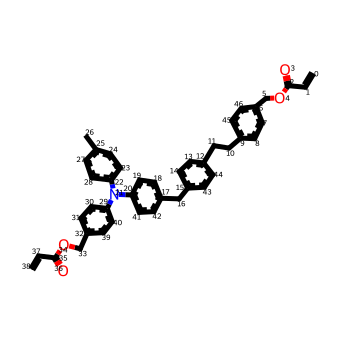 C=CC(=O)OCc1ccc(CCc2ccc(Cc3ccc(N(c4ccc(C)cc4)c4ccc(COC(=O)C=C)cc4)cc3)cc2)cc1